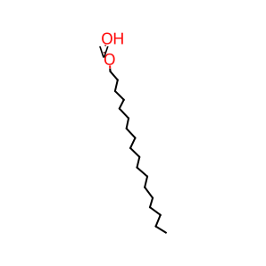 CCCCCCCCCCCCCCCCCC[O][V][OH]